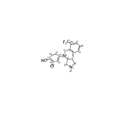 CN1CCC(N(Cc2ccccc2C(F)(F)F)c2ccc(C#N)c(Cl)c2)C1